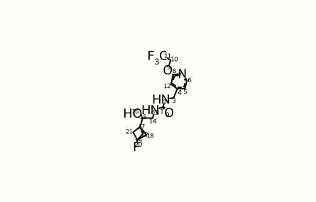 O=C(NCc1ccnc(OCC(F)(F)F)c1)NCC(O)C12CC(F)(C1)C2